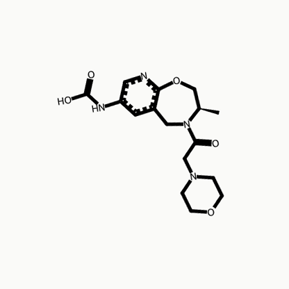 C[C@@H]1COc2ncc(NC(=O)O)cc2CN1C(=O)CN1CCOCC1